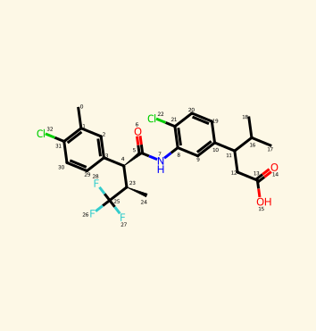 Cc1cc([C@@H](C(=O)Nc2cc(C(CC(=O)O)C(C)C)ccc2Cl)[C@@H](C)C(F)(F)F)ccc1Cl